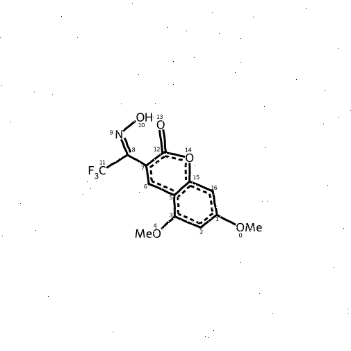 COc1cc(OC)c2cc(/C(=N\O)C(F)(F)F)c(=O)oc2c1